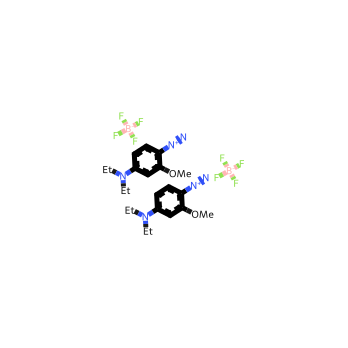 CCN(CC)c1ccc([N+]#N)c(OC)c1.CCN(CC)c1ccc([N+]#N)c(OC)c1.F[B-](F)(F)F.F[B-](F)(F)F